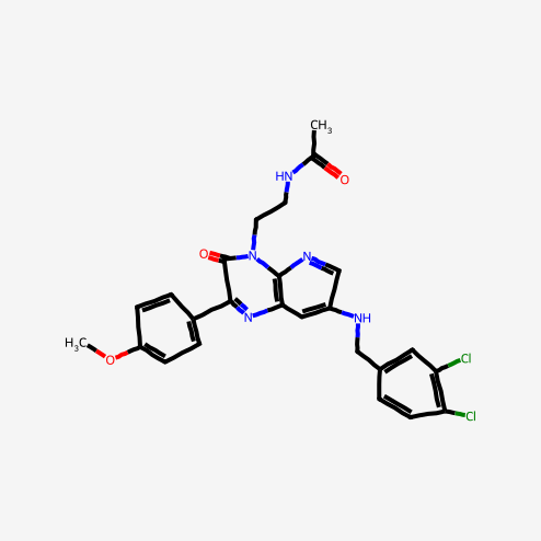 COc1ccc(-c2nc3cc(NCc4ccc(Cl)c(Cl)c4)cnc3n(CCNC(C)=O)c2=O)cc1